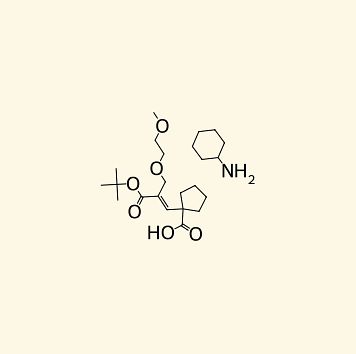 COCCOC/C(=C\C1(C(=O)O)CCCC1)C(=O)OC(C)(C)C.NC1CCCCC1